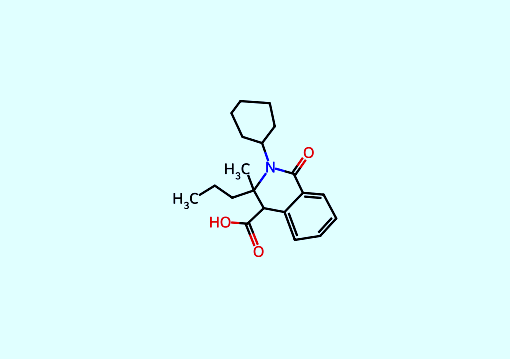 CCCC1(C)C(C(=O)O)c2ccccc2C(=O)N1C1CCCCC1